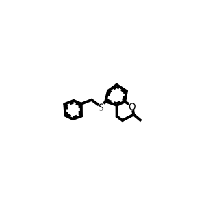 CC1CCc2c(cccc2SCc2ccccc2)O1